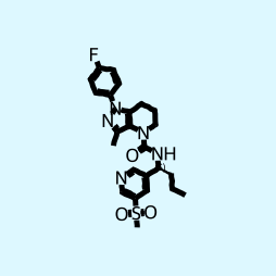 CCC[C@H](NC(=O)N1CCCc2c1c(C)nn2-c1ccc(F)cc1)c1cncc(S(C)(=O)=O)c1